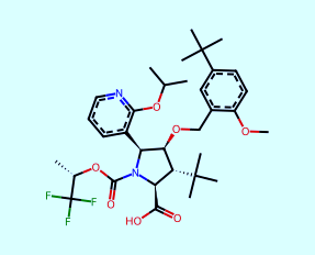 COc1ccc(C(C)(C)C)cc1CO[C@H]1[C@H](C(C)(C)C)[C@@H](C(=O)O)N(C(=O)O[C@@H](C)C(F)(F)F)[C@H]1c1cccnc1OC(C)C